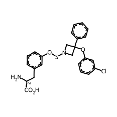 N[C@@H](Cc1cccc(OSN2CC(Oc3cccc(Cl)c3)(c3ccccc3)C2)c1)C(=O)O